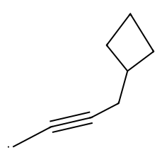 [CH2]C#CCC1CCC1